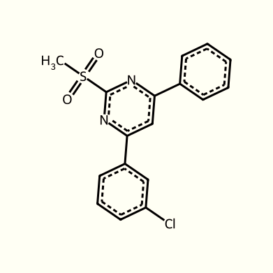 CS(=O)(=O)c1nc(-c2ccccc2)cc(-c2cccc(Cl)c2)n1